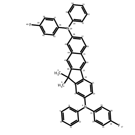 CC1(C)c2cc(N(c3ccccc3)c3ccc(F)cc3)ccc2-c2cc3ccc(N(c4ccccc4)c4ccc(F)cc4)cc3cc21